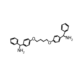 NC(c1ccccc1)c1ccc(OCCCCOc2ccc(C(N)c3ccccc3)cc2)cc1